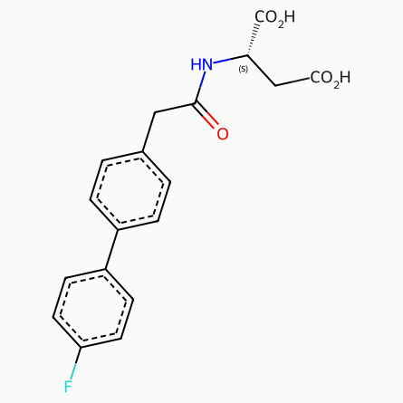 O=C(O)C[C@H](NC(=O)Cc1ccc(-c2ccc(F)cc2)cc1)C(=O)O